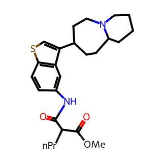 CCCC(C(=O)Nc1ccc2scc(C3CCC4CCCCN4CC3)c2c1)C(=O)OC